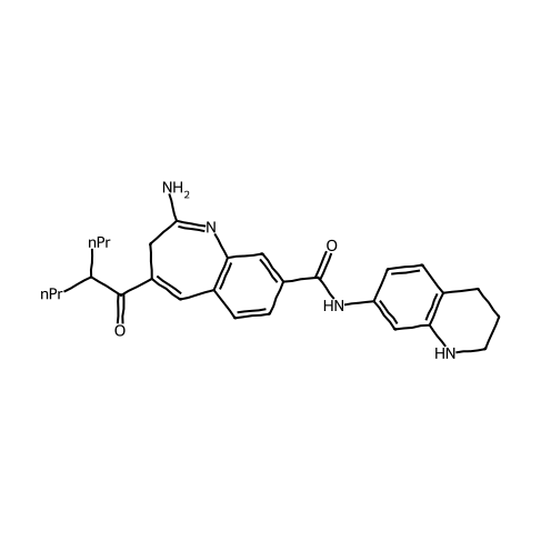 CCCC(CCC)C(=O)C1=Cc2ccc(C(=O)Nc3ccc4c(c3)NCCC4)cc2N=C(N)C1